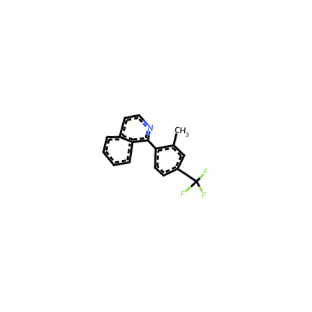 Cc1cc(C(F)(F)F)ccc1-c1nccc2ccccc12